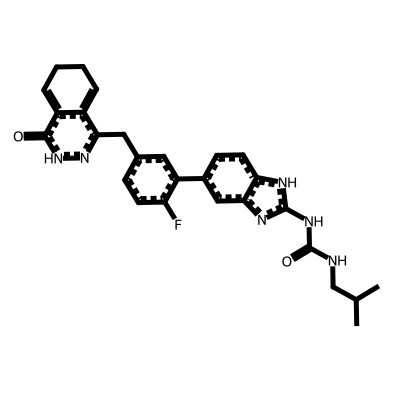 CC(C)CNC(=O)Nc1nc2cc(-c3cc(Cc4n[nH]c(=O)c5c4=CCCC=5)ccc3F)ccc2[nH]1